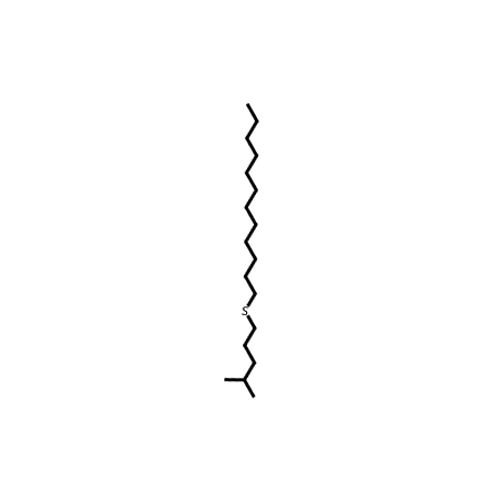 CCCCCCCCCCCCSCCCC(C)C